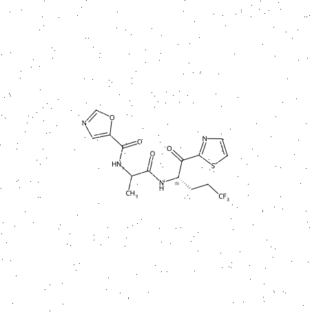 CC(NC(=O)c1cnco1)C(=O)N[C@@H](CCC(F)(F)F)C(=O)c1nccs1